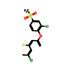 C=C(/C=C(F)\C=C(/C)Cl)Oc1ccc(S(=O)(=O)C(F)(F)F)cc1Cl